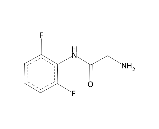 NCC(=O)Nc1c(F)cccc1F